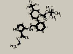 CCOC(=O)c1[nH]ccc1NCc1ccccc1C1CCC(C(F)(F)F)CN1C(=O)OC(C)(C)C